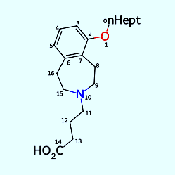 CCCCCCCOc1cccc2c1CCN(CCCC(=O)O)CC2